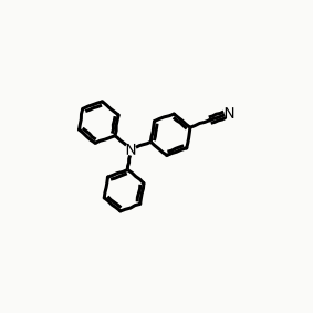 N#Cc1ccc(N(c2ccccc2)c2ccccc2)cc1